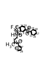 CN(CCNS(=O)(=O)c1cc(S(=O)(=O)c2ccccc2)ccc1C(F)(F)F)C(=O)c1ccco1